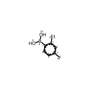 CCc1cc(F)ccc1B(O)O